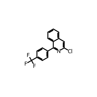 FC(F)(F)c1ccc(-c2nc(Cl)cc3ccccc23)cc1